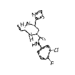 C=CCN[C@@H](C[C@@H](N)c1nccs1)C(=O)Nc1ccc(F)c(Cl)c1